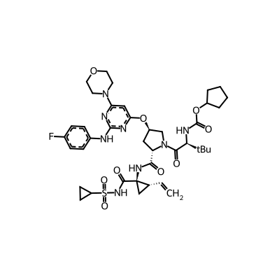 C=C[C@@H]1C[C@]1(NC(=O)[C@@H]1C[C@@H](Oc2cc(N3CCOCC3)nc(Nc3ccc(F)cc3)n2)CN1C(=O)[C@@H](NC(=O)OC1CCCC1)C(C)(C)C)C(=O)NS(=O)(=O)C1CC1